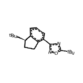 CC(C)(C)c1nc(-c2cccc3c2CC[C@H]3C(C)(C)C)no1